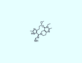 CCn1c(C)nc2c(c1=O)CN(/C(=N/C=N)c1[nH]c(C)nc1CCCOC)CC2